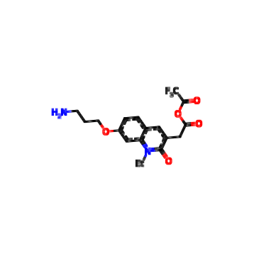 CCn1c(=O)c(CC(=O)OC(=O)C(F)(F)F)cc2ccc(OCCCN)cc21